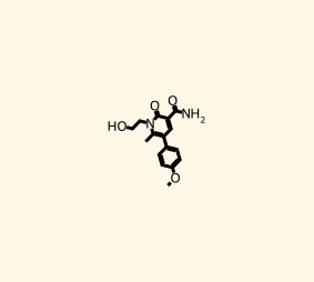 COc1ccc(-c2cc(C(N)=O)c(=O)n(CCO)c2C)cc1